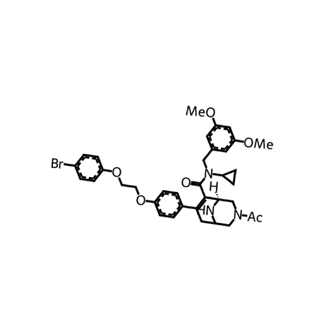 COc1cc(CN(C(=O)C2=C(c3ccc(OCCOc4ccc(Br)cc4)cc3)CC3CN(C(C)=O)C[C@H]2N3)C2CC2)cc(OC)c1